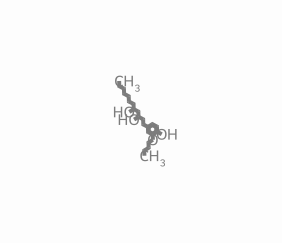 CCCCCCCC(O)CC(O)CCc1ccc(O)c(OCCCC)c1